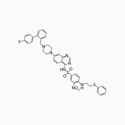 O=[N+]([O-])c1cc(S(=O)(=O)Nc2ncnc3cc(N4CCN(Cc5ccccc5-c5ccc(F)cc5)CC4)ccc23)ccc1NCCSc1ccccc1